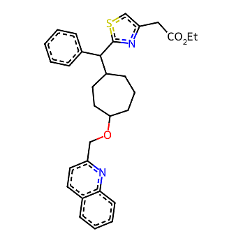 CCOC(=O)Cc1csc(C(c2ccccc2)C2CCCC(OCc3ccc4ccccc4n3)CC2)n1